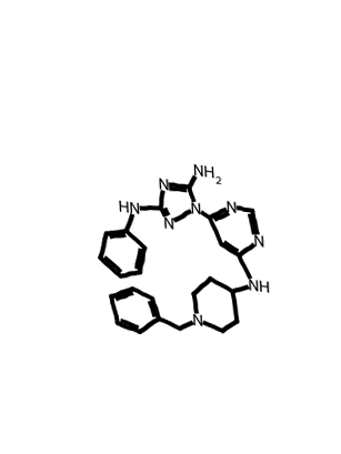 Nc1nc(Nc2ccccc2)nn1-c1cc(NC2CCN(Cc3ccccc3)CC2)ncn1